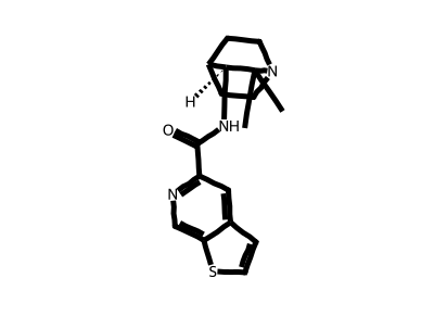 CC1(C)[C@@H](NC(=O)c2cc3ccsc3cn2)C2CCN1CC2